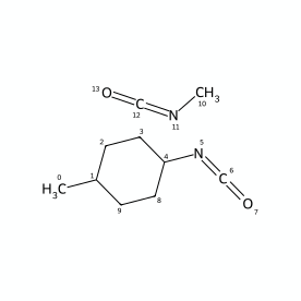 CC1CCC(N=C=O)CC1.CN=C=O